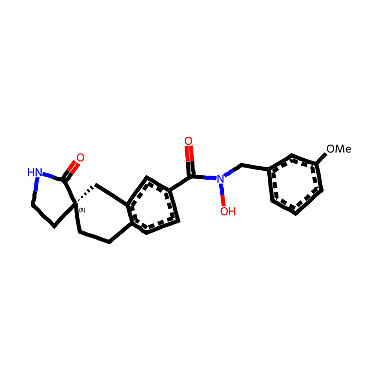 COc1cccc(CN(O)C(=O)c2ccc3c(c2)C[C@@]2(CCNC2=O)CC3)c1